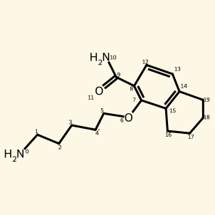 NCCC[CH]COc1c(C(N)=O)ccc2c1CCCC2